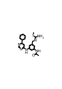 CS/C(N)=N\Cc1cc(NC(C)=O)cc(Nc2cc(-c3ccccc3)ncn2)c1